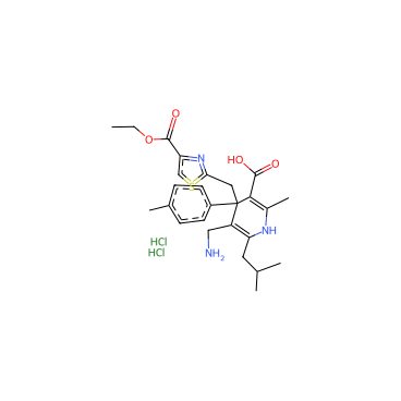 CCOC(=O)c1csc(CC2(c3ccc(C)cc3)C(CN)=C(CC(C)C)NC(C)=C2C(=O)O)n1.Cl.Cl